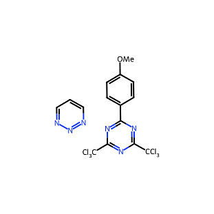 COc1ccc(-c2nc(C(Cl)(Cl)Cl)nc(C(Cl)(Cl)Cl)n2)cc1.c1cnnnc1